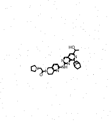 CC(O)c1cc2cnc(Nc3ccc4c(n3)CCN(C(=O)CN3CCCC3)C4)nc2c(N2C3CCC2CC3)n1